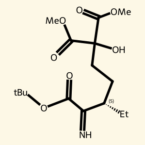 CC[C@@H](CCC(O)(C(=O)OC)C(=O)OC)C(=N)C(=O)OC(C)(C)C